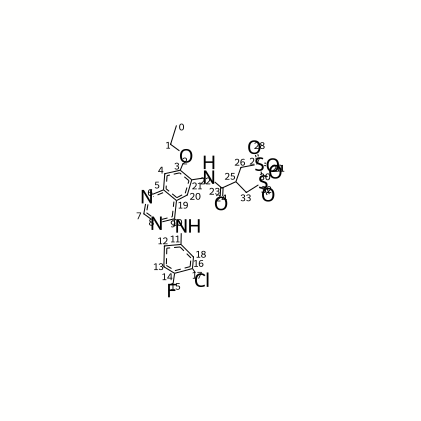 CCOc1cc2ncnc(Nc3ccc(F)c(Cl)c3)c2cc1NC(=O)C1CS(=O)(=O)S(=O)(=O)C1